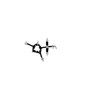 NS(=O)(=O)c1sc(Cl)cc1Br